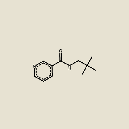 CC(C)(C)CNC(=O)c1cccnc1